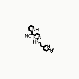 CN(C)c1ccc(CCNc2nccc(/C(C#N)=C3/C=CC=CN3)n2)cn1